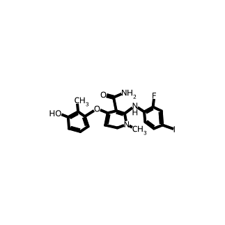 Cc1c(O)cccc1OC1=CCN(C)C(Nc2ccc(I)cc2F)=C1C(N)=O